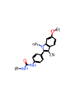 CCCn1c(-c2ccc(NC(=O)NC(C)C)cc2)c(C#N)c2ccc(OCC)cc21